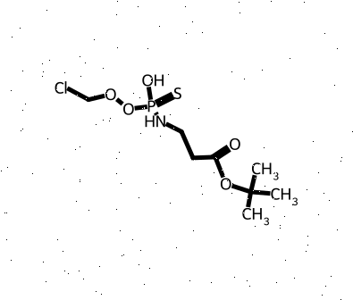 CC(C)(C)OC(=O)CCNP(O)(=S)OOCCl